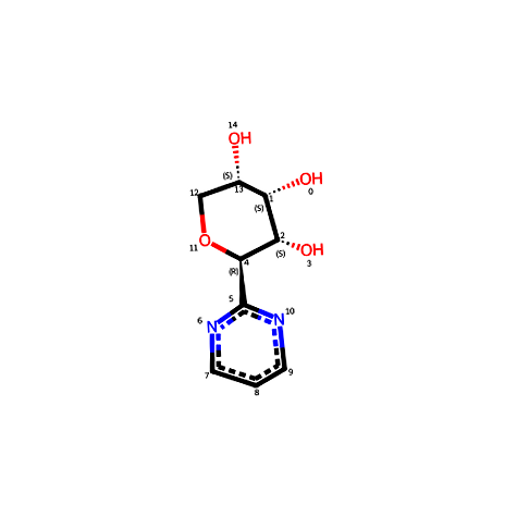 O[C@@H]1[C@H](O)[C@@H](c2ncccn2)OC[C@@H]1O